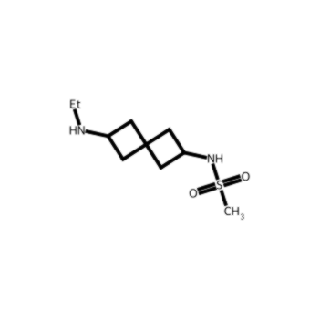 CCNC1CC2(C1)CC(NS(C)(=O)=O)C2